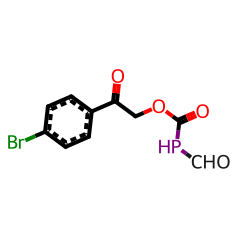 O=CPC(=O)OCC(=O)c1ccc(Br)cc1